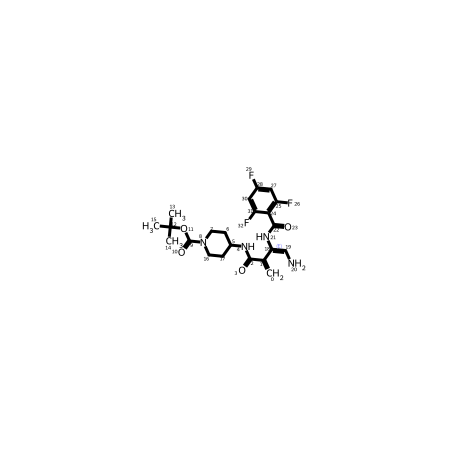 C=C(C(=O)NC1CCN(C(=O)OC(C)(C)C)CC1)/C(=C\N)NC(=O)c1c(F)cc(F)cc1F